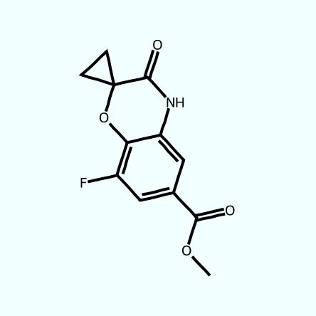 COC(=O)c1cc(F)c2c(c1)NC(=O)C1(CC1)O2